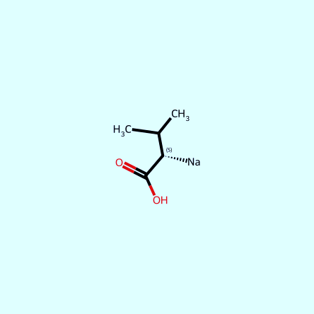 CC(C)[C@H]([Na])C(=O)O